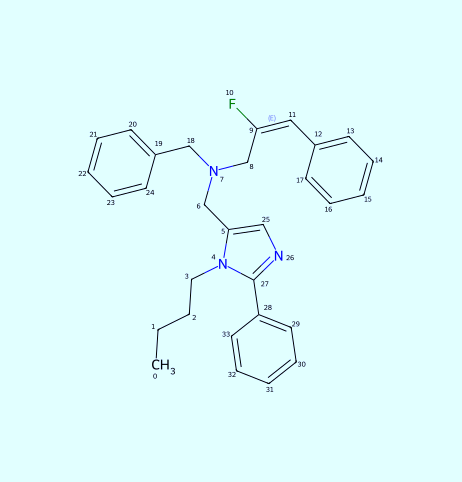 CCCCn1c(CN(C/C(F)=C\c2ccccc2)Cc2ccccc2)cnc1-c1ccccc1